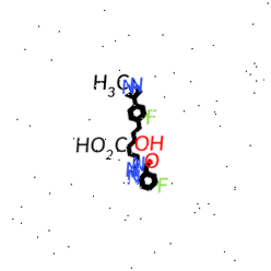 Cn1cc(-c2ccc(CC[C@@H](O)C(CCn3nnc4ccc(F)cc4c3=O)C(=O)O)c(F)c2)cn1